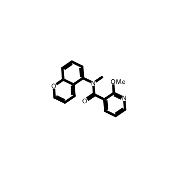 COc1ncccc1C(=O)N(C)C1=CC=CC2OC=CC=C12